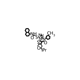 Cc1cccc(-n2c(=O)c3c4c(sc3n3c(SCC(=O)Nc5cccc6ccccc56)nnc23)COC(C(C)C)C4)c1